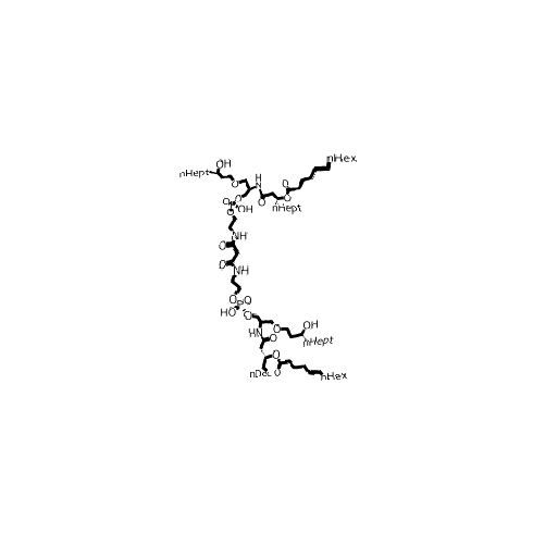 CCCCCC/C=C/CCCC(=O)O[C@H](CCCCCCC)CC(=O)NC(COCC[C@H](O)CCCCCCC)COP(=O)(O)OCCNC(=O)CC(=O)NCCOP(=O)(O)OCC(COCC[C@H](O)CCCCCCC)NC(=O)C[C@@H](CCCCCCCCCCC)OC(=O)CCC/C=C/CCCCCC